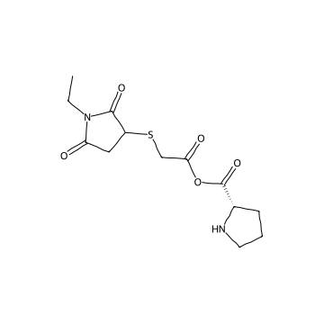 CCN1C(=O)CC(SCC(=O)OC(=O)[C@@H]2CCCN2)C1=O